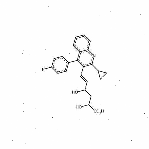 O=C(O)C(O)CC(O)/C=C/c1c(C2CC2)nc2ccccc2c1-c1ccc(F)cc1